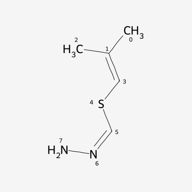 CC(C)=CS/C=N\N